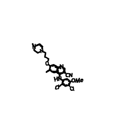 COc1cc(Nc2c(C#N)cnc3cc(OCCCN4CCN(C)CC4)c(C)cc23)c(Cl)cc1Cl